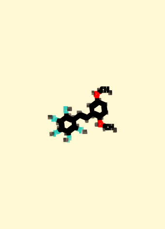 COc1ccc(OC)c(/C=C/c2c(F)c(F)c(F)c(F)c2F)c1